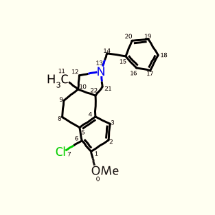 COc1ccc2c(c1Cl)CCC1(C)CN(Cc3ccccc3)CC21